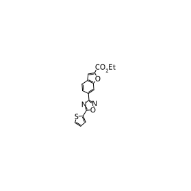 CCOC(=O)c1cc2ccc(-c3noc(-c4cccs4)n3)cc2o1